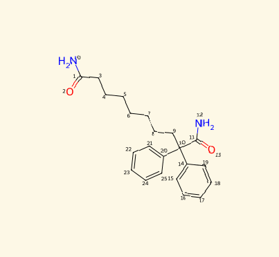 NC(=O)CCCCCCCC(C(N)=O)(c1ccccc1)c1ccccc1